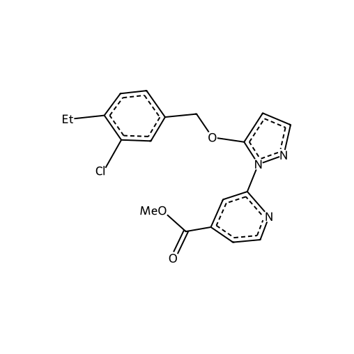 CCc1ccc(COc2ccnn2-c2cc(C(=O)OC)ccn2)cc1Cl